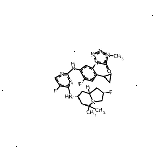 Cn1nnn(-c2cc(Nc3ncc(F)c(N[C@@H]4C[C@@H]5C[C@@H](F)CN5C(C)(C)C4)n3)c(F)cc2C2CC2)c1=O